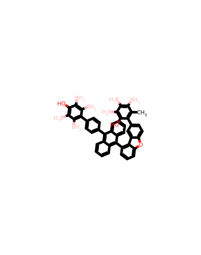 Bc1c(B)c(C)c(-c2ccc3oc4cccc(-c5c6ccccc6c(-c6ccc(-c7c(B)c(B)c(O)c(B)c7B)cc6)c6ccccc56)c4c3c2)c(O)c1B